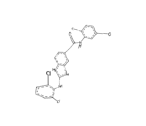 O=C(Nc1cc(Cl)ccc1Cl)c1ccc2[nH]c(Nc3c(Cl)cccc3Cl)nc2c1